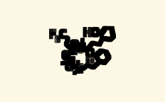 C[Si](C)(CCCc1ccccc1O)O[Si](C)(C)O[Si](C)(CCC(F)(F)F)O[Si](C)(C)CCCc1ccccc1O